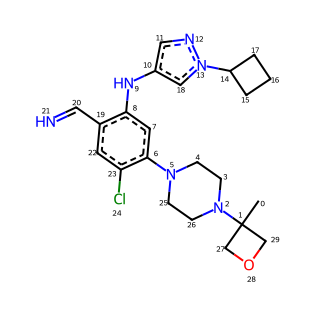 CC1(N2CCN(c3cc(Nc4cnn(C5CCC5)c4)c(C=N)cc3Cl)CC2)COC1